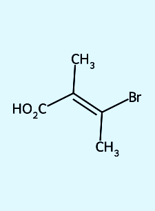 C/C(Br)=C(/C)C(=O)O